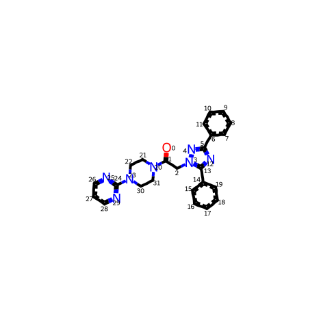 O=C(Cn1nc(-c2ccccc2)nc1-c1ccccc1)N1CCN(c2ncccn2)CC1